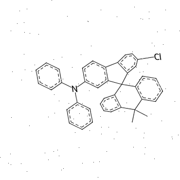 CC1(C)c2ccccc2C2(c3cc(Cl)ccc3-c3ccc(N(c4ccccc4)c4ccccc4)cc32)c2ccccc21